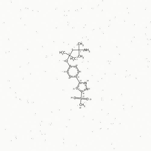 CC(C)(N)CC(C)(C)Oc1ccc(-c2nnc(S(C)(=O)=O)o2)cc1